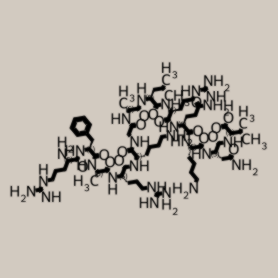 CC(C)C[C@H](NC(=O)[C@H](C)NC(=O)CNC(=O)[C@H](CCCCN)NC(=O)[C@H](CCCNC(=N)N)NC(=O)[C@H](C)NC(=O)[C@H](Cc1ccccc1)NC(=O)[C@@H](N)CCCNC(=N)N)C(=O)N[C@@H](CCCNC(=N)N)C(=O)N[C@@H](CCC(N)=O)C(=O)N[C@@H](CCCCN)C(=O)N[C@@H](CC(N)=O)C(=O)N[C@H](C(=O)O)C(C)C